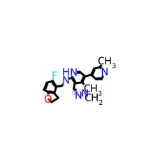 C=N/N=C\c1c(NCc2c(F)ccc3c2CCO3)ncc(-c2ccnc(C)c2)c1C